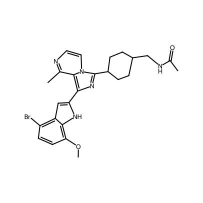 COc1ccc(Br)c2cc(-c3nc(C4CCC(CNC(C)=O)CC4)n4ccnc(C)c34)[nH]c12